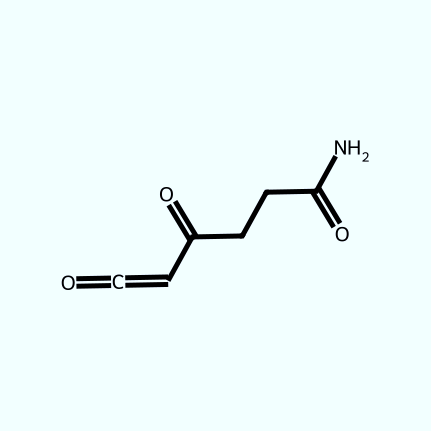 NC(=O)CCC(=O)C=C=O